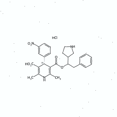 CC1=C(C(=O)O)[C@H](c2cccc([N+](=O)[O-])c2)C(C(=O)OC(Cc2ccccc2)C2CCNC2)=C(C)N1.Cl